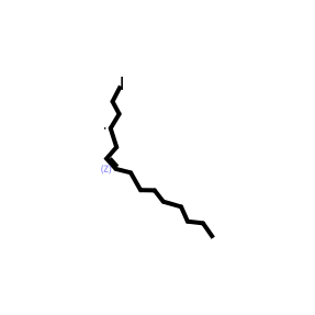 CCCCCCCC/C=C\C[CH]CCI